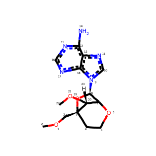 COC[C@@]12CCOC([C@H](n3cnc4c(N)ncnc43)O1)[C@H]2OC